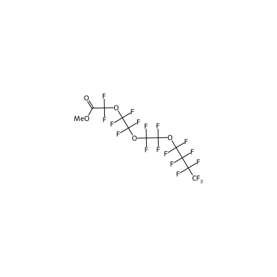 COC(=O)C(F)(F)OC(F)(F)C(F)(F)OC(F)(F)C(F)(F)OC(F)(F)C(F)(F)C(F)(F)C(F)(F)F